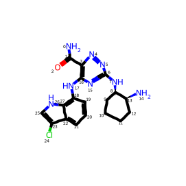 NC(=O)c1nnc(N[C@@H]2CCCC[C@@H]2N)nc1Nc1cccc2c(Cl)c[nH]c12